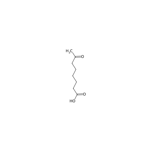 CC(=O)CCCCCC(=O)O